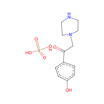 O=C(CN1CCNCC1)c1ccc(O)cc1.O=S(=O)(O)O